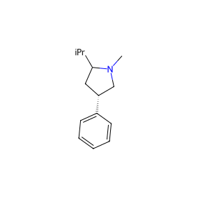 CC(C)C1C[C@@H](c2ccccc2)CN1C